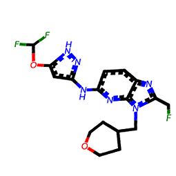 FCc1nc2ccc(Nc3cc(OC(F)F)[nH]n3)nc2n1CC1CCOCC1